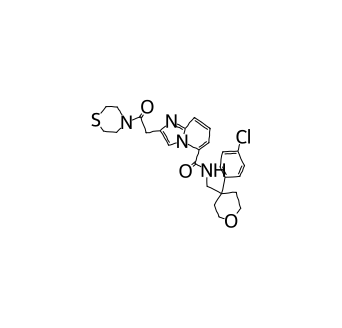 O=C(NCC1(c2ccc(Cl)cc2)CCOCC1)c1cccc2nc(CC(=O)N3CCSCC3)cn12